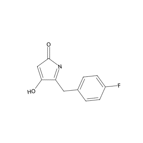 O=C1C=C(O)C(Cc2ccc(F)cc2)=N1